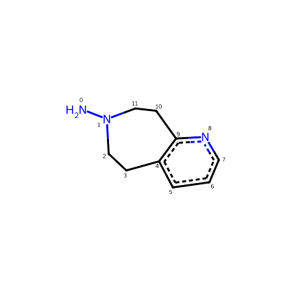 NN1CCc2cccnc2CC1